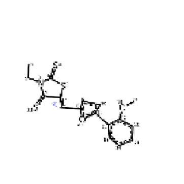 CCN1C(=S)S/C(=C\c2ccc(-c3ccccc3OC)o2)C1=S